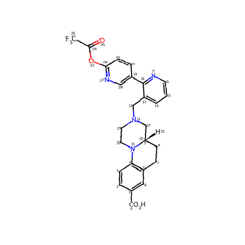 O=C(O)c1ccc2c(c1)CC[C@H]1CN(Cc3cccnc3-c3ccc(OC(=O)C(F)(F)F)nc3)CCN21